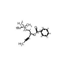 CC#CC(CO[Si](C)(C)C(C)(C)C)OC(=O)c1ccccc1